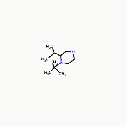 CC(C)C1CNCCN1C(C)(C)C